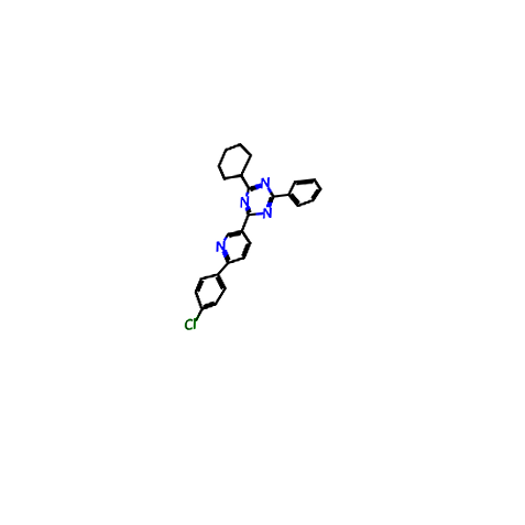 Clc1ccc(-c2ccc(-c3nc(-c4ccccc4)nc(C4CCCCC4)n3)cn2)cc1